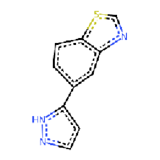 c1cc(-c2ccc3scnc3c2)[nH]n1